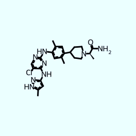 Cc1cc(Nc2nc(Nc3cc(C)c(C4CCN([C@H](C)C(N)=O)CC4)cc3C)ncc2Cl)n[nH]1